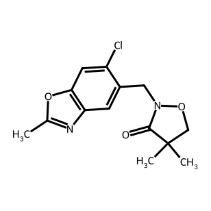 Cc1nc2cc(CN3OCC(C)(C)C3=O)c(Cl)cc2o1